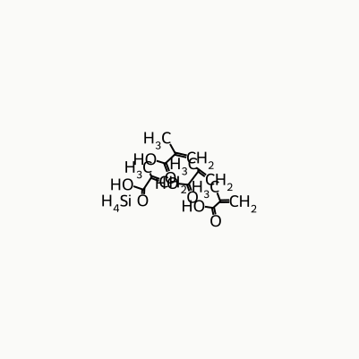 C=C(C)C(=O)O.C=C(C)C(=O)O.C=C(C)C(=O)O.C=C(C)C(=O)O.[SiH4]